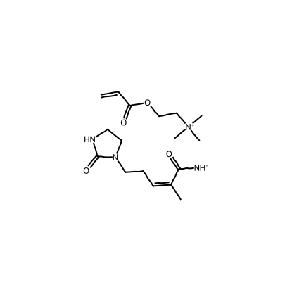 C=CC(=O)OCC[N+](C)(C)C.CC(=CCCN1CCNC1=O)C([NH-])=O